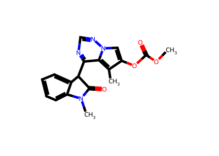 COC(=O)Oc1cn2ncnc(C3C(=O)N(C)c4ccccc43)c2c1C